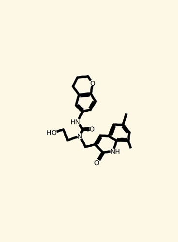 Cc1cc(C)c2[nH]c(=O)c(CN(CCO)C(=O)Nc3ccc4c(c3)CCCO4)cc2c1